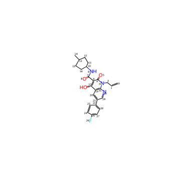 C=CCn1c(=O)c(C(=O)NC2CCC(C)CC2)c(O)c2cc(-c3ccc(F)cc3)cnc21